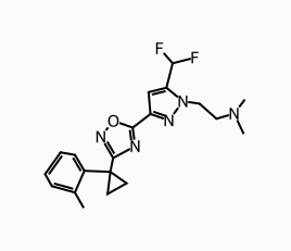 Cc1ccccc1C1(c2noc(-c3cc(C(F)F)n(CCN(C)C)n3)n2)CC1